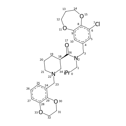 CC(C)CN(Cc1cc(Cl)c2c(c1)OCCCO2)C(=O)[C@@H]1CCCN(Cc2cccc3c2OCCO3)C1